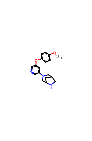 COc1ccc(Oc2cncc(N3CC4CNC(C4)C3)c2)cc1